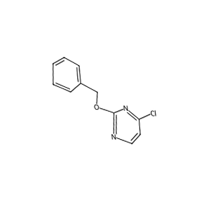 Clc1ccnc(OCc2ccccc2)n1